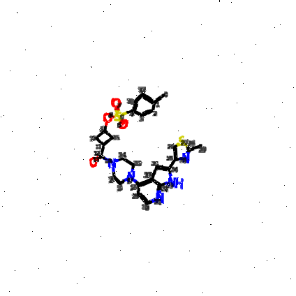 Cc1ccc(S(=O)(=O)OC2CC(C(=O)N3CCN(c4ccnc5[nH]c(-c6csc(C)n6)cc45)CC3)C2)cc1